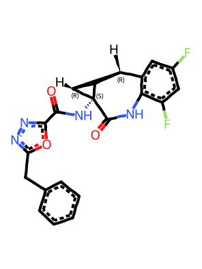 O=C(N[C@@]12C(=O)Nc3c(F)cc(F)cc3[C@@H]3C1[C@@H]32)c1nnc(Cc2ccccc2)o1